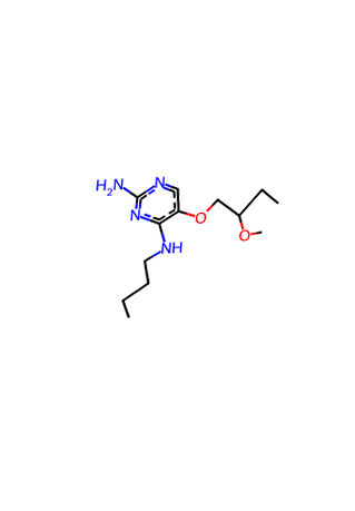 CCCCNc1nc(N)ncc1OCC(CC)OC